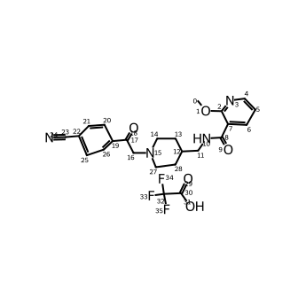 COc1ncccc1C(=O)NCC1CCN(CC(=O)c2ccc(C#N)cc2)CC1.O=C(O)C(F)(F)F